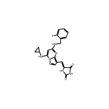 O=C1NC(=O)/C(=C/c2cnn3c(NC4CC4)cc(NCc4ccccc4F)nc23)N1